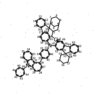 CCC1CC2CCCC(C2)C12c1ccccc1-c1ccc(N(c3ccc(-c4cccc5c4c4ccccc4n5-c4ccccc4)cc3)c3ccc4c(c3)C3(CCCCC3)c3ccccc3-4)cc12